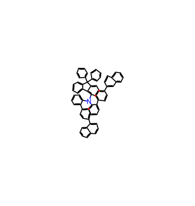 c1ccc(C2(c3ccccc3)c3ccccc3-c3c(N(c4ccccc4-c4ccc(-c5ccc6ccccc6c5)cc4)c4ccccc4-c4ccc(-c5cccc6ccccc56)cc4)cccc32)cc1